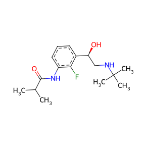 CC(C)C(=O)Nc1cccc([C@@H](O)CNC(C)(C)C)c1F